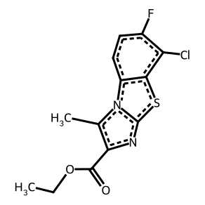 CCOC(=O)c1nc2sc3c(Cl)c(F)ccc3n2c1C